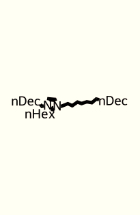 CCCCCCCCCCCCCCCCCCN1C=CN(CCCCCCCCCCC)C1CCCCCC